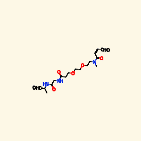 C[C@@H](C=O)NC(=O)CNC(=O)CCOCCOCCN(C)C(=O)/C=C\C=O